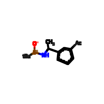 CC(=O)c1cccc(C(C)N[S+]([O-])C(C)(C)C)c1